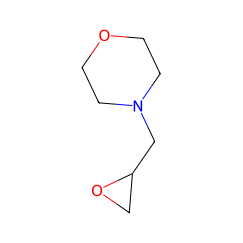 C1CN(CC2CO2)CCO1